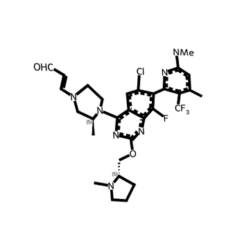 CNc1cc(C)c(C(F)(F)F)c(-c2c(Cl)cc3c(N4CCN(C=CC=O)C[C@@H]4C)nc(OC[C@@H]4CCCN4C)nc3c2F)n1